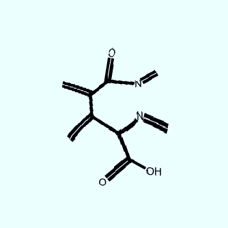 C=NC(=O)C(=C)C(=C)C(N=C)C(=O)O